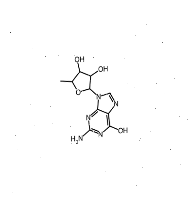 CC1OC(n2cnc3c(O)nc(N)nc32)C(O)C1O